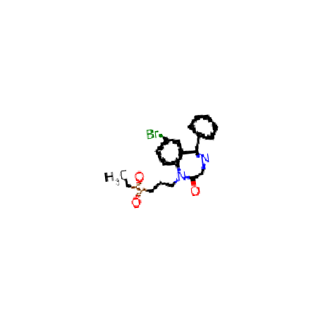 CCS(=O)(=O)CCCN1C(=O)CN=C(c2ccccc2)c2cc(Br)ccc21